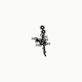 C#CCOCCOCCO[C@]1(C(=O)O)C[C@H](O)[C@@H](CCC(=O)CO)[C@H]([C@H](O)[C@H](O)CNC(=O)Cc2ccc(-c3ccccc3)cc2)O1